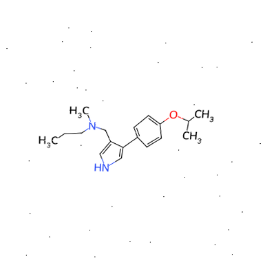 CCCN(C)Cc1c[nH]cc1-c1ccc(OC(C)C)cc1